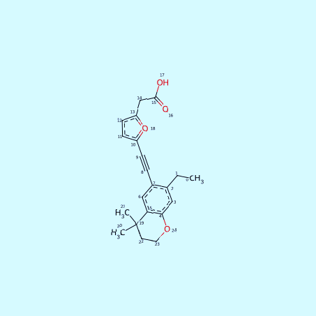 CCc1cc2c(cc1C#Cc1ccc(CC(=O)O)o1)C(C)(C)CCO2